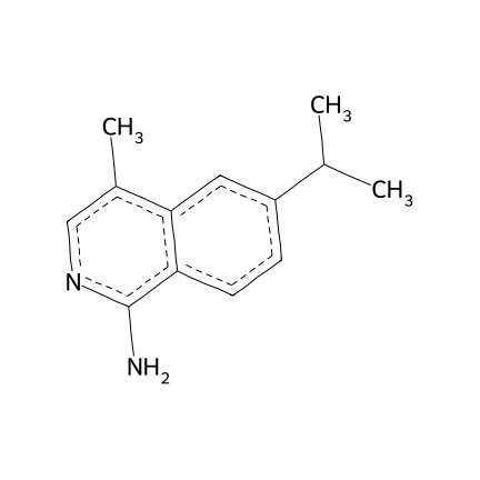 Cc1cnc(N)c2ccc(C(C)C)cc12